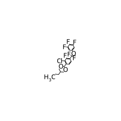 CCCC1COC(c2ccc(C(F)(F)Oc3cc(F)c(F)c(F)c3)c(F)c2Cl)OC1